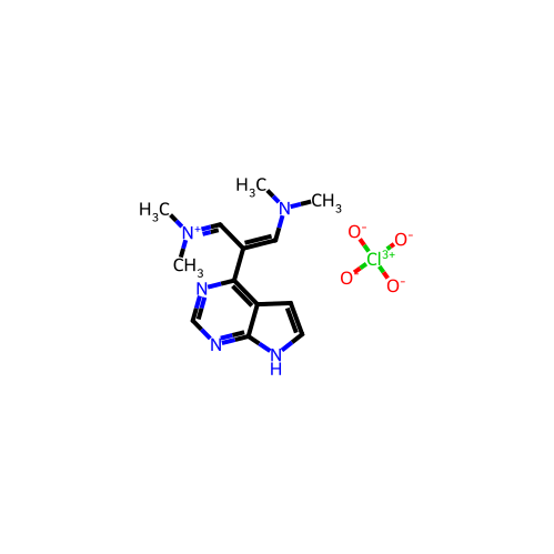 CN(C)/C=C(\C=[N+](C)C)c1ncnc2[nH]ccc12.[O-][Cl+3]([O-])([O-])[O-]